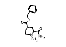 BN1CCN(C(=O)OCc2ccccc2)CC1C(N)=O